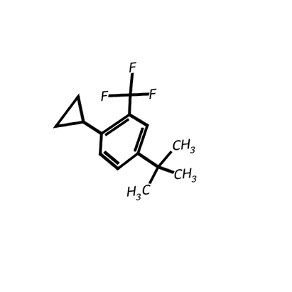 CC(C)(C)c1ccc(C2CC2)c(C(F)(F)F)c1